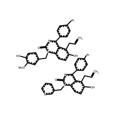 C=CCc1c(O)ccc2c1c(-c1ccc(C(C)C)cc1)nc(=O)n2Cc1ccc(O)c(OC)c1.C=CCc1c(O)ccc2c1c(-c1ccc(C(C)C)cc1)nc(=O)n2Cc1cccnc1